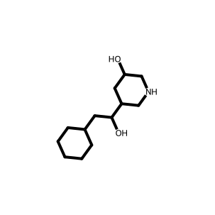 OC1CNCC(C(O)CC2CCCCC2)C1